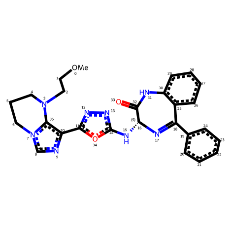 COCCN1CCCn2cnc(-c3nnc(N[C@H]4N=C(c5ccccc5)c5ccccc5NC4=O)o3)c21